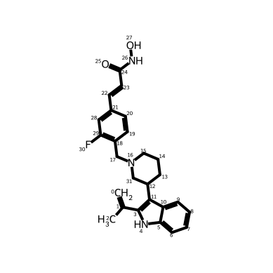 C=C(C)c1[nH]c2ccccc2c1C1CCCN(Cc2ccc(C=CC(=O)NO)cc2F)C1